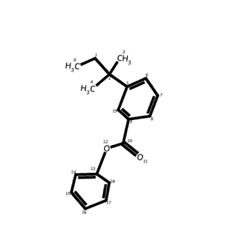 CCC(C)(C)c1cccc(C(=O)Oc2ccccc2)c1